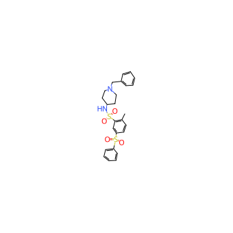 Cc1ccc(S(=O)(=O)c2ccccc2)cc1S(=O)(=O)NC1CCN(Cc2ccccc2)CC1